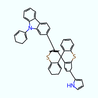 C1=CC(n2c3ccccc3c3ccc(C4=CC5SC6=CCCC=C6C6(C7=C(CC(c8ccc[nH]8)C=C7)Sc7ccccc76)C5C=C4)cc32)=CCC1